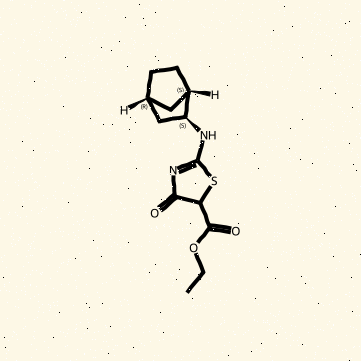 CCOC(=O)C1SC(N[C@H]2C[C@@H]3CC[C@H]2C3)=NC1=O